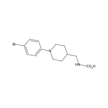 O=C(O)NCC1CCN(c2ccc(Br)cc2)CC1